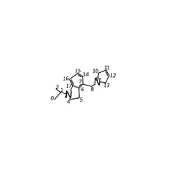 CC(C)N1CCc2c(CN3CC=CC3)cccc21